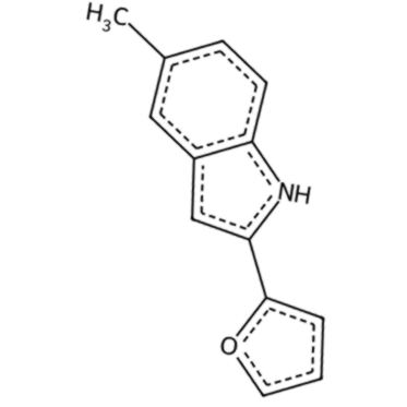 Cc1ccc2[nH]c(-c3ccco3)cc2c1